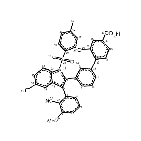 COc1cccc(-c2c(-c3cccc(-c4ccc(C(=O)O)cc4Cl)c3)n(S(=O)(=O)c3ccc(C)cc3)c3ccc(F)cc23)c1C#N